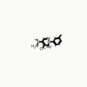 Cc1cccc(-n2ncc(N(C)N)c(Cl)c2=O)c1